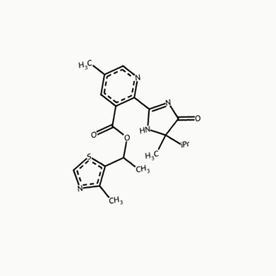 Cc1cnc(C2=NC(=O)C(C)(C(C)C)N2)c(C(=O)OC(C)c2scnc2C)c1